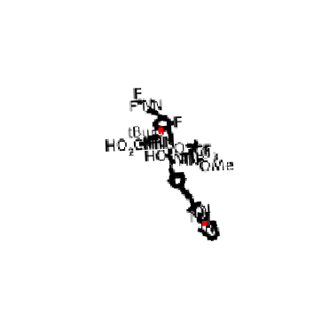 COC(=O)N[C@H](C(=O)N[C@@H](Cc1ccc(C#Cc2cnc(N3CC4CCC(C3)N4C3COC3)nc2)cc1)[C@@H](O)CN(Cc1c(F)cc(-c2cn(C(F)F)cn2)cc1F)NC(=O)[C@@H](NC(=O)O)C(C)(C)C)C(C)(C)C(F)(F)F